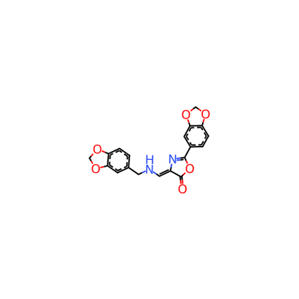 O=C1OC(c2ccc3c(c2)OCO3)=NC1=CNCc1ccc2c(c1)OCO2